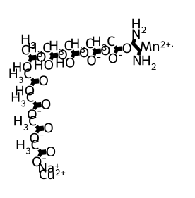 CC(=O)O.CC(=O)O.CC(=O)O.CC(=O)O.CC(=O)[O-].CC(=O)[O-].CC(=O)[O-].CC(=O)[O-].CC(=O)[O-].NCCN.[Cu+2].[Mn+2].[Na+]